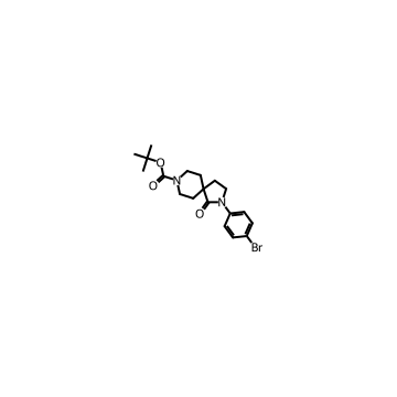 CC(C)(C)OC(=O)N1CCC2(CC1)CCN(c1ccc(Br)cc1)C2=O